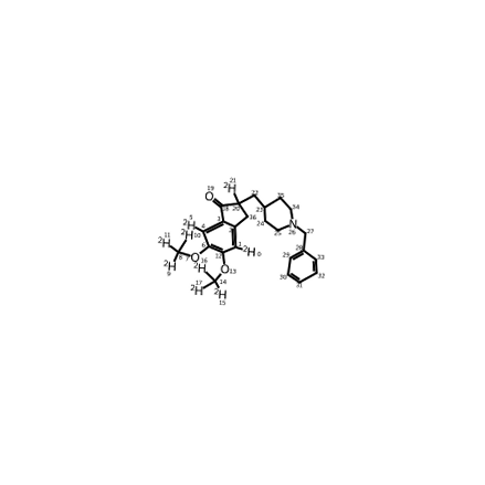 [2H]c1c2c(c([2H])c(OC([2H])([2H])[2H])c1OC([2H])([2H])[2H])C(=O)C([2H])(CC1CCN(Cc3ccccc3)CC1)C2